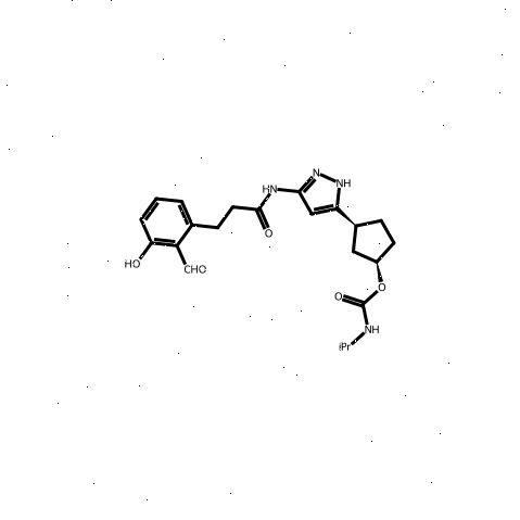 CC(C)NC(=O)O[C@@H]1CC[C@H](c2cc(NC(=O)CCc3cccc(O)c3C=O)n[nH]2)C1